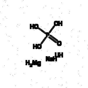 O=P(O)(O)O.[LiH].[MgH2].[NaH]